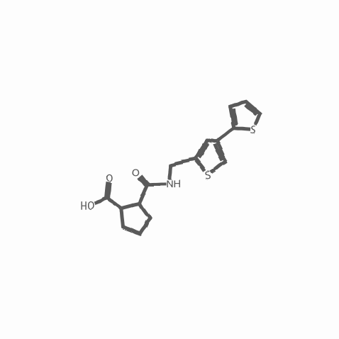 O=C(O)C1CCCC1C(=O)NCc1cc(-c2cccs2)cs1